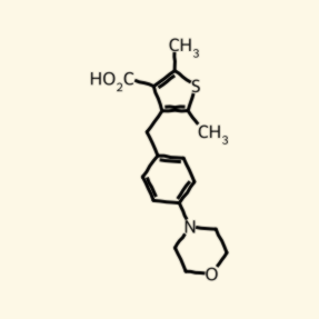 Cc1sc(C)c(C(=O)O)c1Cc1ccc(N2CCOCC2)cc1